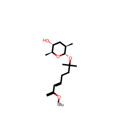 C=C(/C=C/CCC(C)(C)O[C@@H]1O[C@@H](C)[C@H](O)C[C@H]1C)OC(C)(C)C